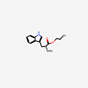 CN[C@@H](Cc1c[nH]c2ccccc12)C(=O)OCCC(C)C